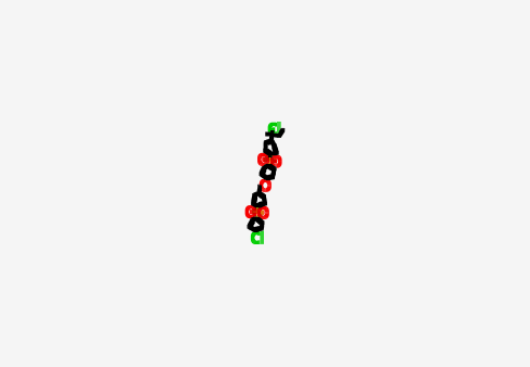 CCC(C)(Cl)c1ccc(S(=O)(=O)c2ccc(OCc3ccc(S(=O)(=O)c4ccc(Cl)cc4)cc3)cc2)cc1